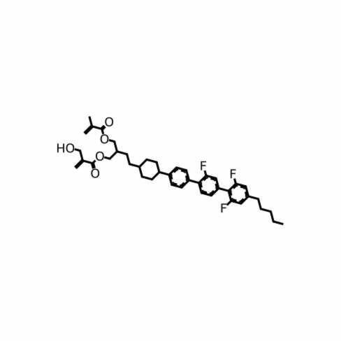 C=C(C)C(=O)OCC(CCC1CCC(c2ccc(-c3ccc(-c4c(F)cc(CCCCC)cc4F)cc3F)cc2)CC1)COC(=O)C(=C)CO